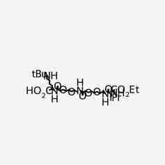 CCOC(=O)NC(C(=O)NCCOCCOCC(=O)NCCOCCOCC(=O)NC(CCCCNC(C)(C)C)C(=O)O)C(C)C